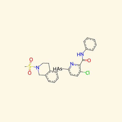 CS(=O)(=O)N1CCc2c(cccc2[AsH]c2ccc(Cl)c(C(=O)Nc3ccccc3)n2)C1